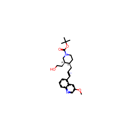 COc1cnc2cccc(/C=C/C[C@@H]3CCN(C(=O)OC(C)(C)C)C[C@@H]3CCO)c2c1